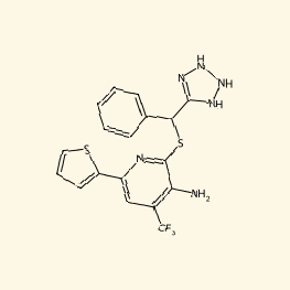 Nc1c(C(F)(F)F)cc(-c2cccs2)nc1SC(C1=NNNN1)c1ccccc1